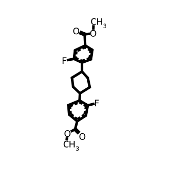 COC(=O)c1ccc(C2CCC(c3ccc(C(=O)OC)cc3F)CC2)c(F)c1